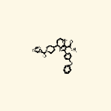 NC(=O)c1c(-c2ccc(Oc3ccccc3)cc2)nn2c1NCCC2C1CCN(C(=O)n2cncn2)CC1